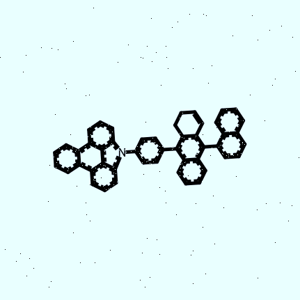 C1=Cc2c(c(-c3ccc(-n4c5cccc6c7ccccc7c7cccc4c7c65)cc3)c3ccccc3c2-c2cccc3ccccc23)CC1